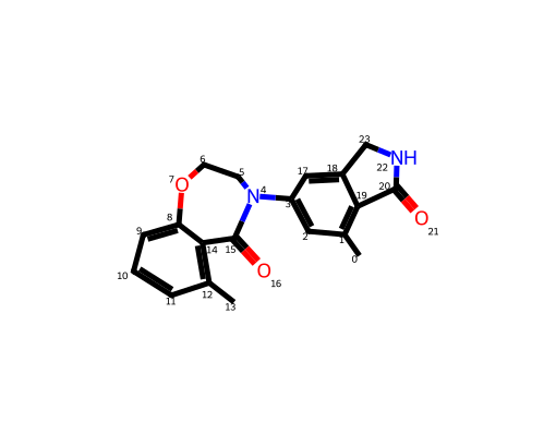 Cc1cc(N2CCOc3cccc(C)c3C2=O)cc2c1C(=O)NC2